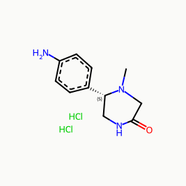 CN1CC(=O)NC[C@@H]1c1ccc(N)cc1.Cl.Cl